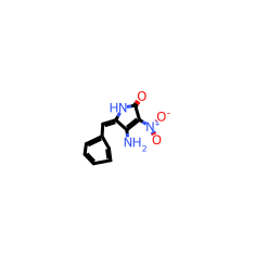 NC1=C([N+](=O)[O-])C(=O)NC1=Cc1ccccc1